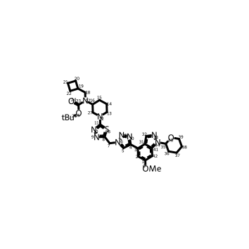 COc1cc(-c2cn(Cc3nnc(N4CCCC(N(CC5CCC5)C(=O)OC(C)(C)C)C4)s3)nn2)c2cnn(C3CCCCO3)c2c1